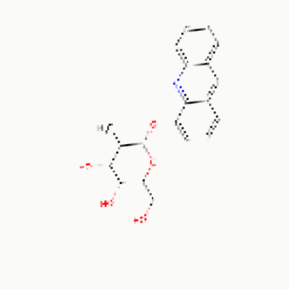 CC1[C@H](Oc2cccc3cc4ccccc4nc23)OC(CO)[C@H](O)[C@@H]1O